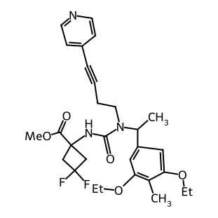 CCOc1cc(C(C)N(CCC#Cc2ccncc2)C(=O)NC2(C(=O)OC)CC(F)(F)C2)cc(OCC)c1C